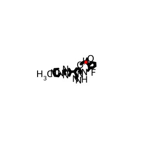 CN1CCN(c2ncc(-c3cc4c(n5cnnc35)NCc3c(F)ccc5c3[C@H](CO5)CO4)cn2)CC1